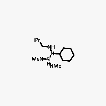 CN[SiH](NC)N(NCC(C)C)C1CCCCC1